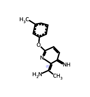 C/C(N)=C1/N=C(Oc2cccc(C)c2)C=CC1=N